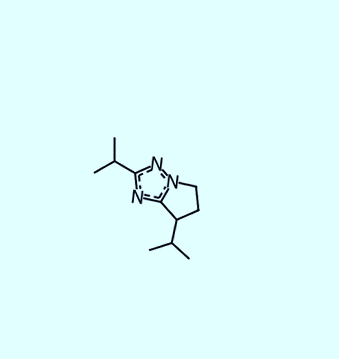 CC(C)c1nc2n(n1)CCC2C(C)C